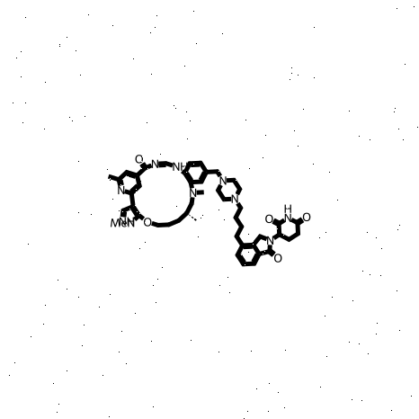 CN/C1=C(\C=N)c2cc(cc(C)n2)C(=O)/N=C\Nc2ccc(CN3CCN(CCCCc4cccc5c4CN(C4CCC(=O)NC4=O)C5=O)CC3)cc2N(C)C[C@H](C)CCCO1